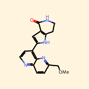 COCc1ccc2nccc(-c3cc4c([nH]3)CCNC4=O)c2n1